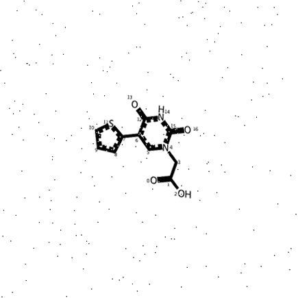 O=C(O)Cn1cc(-c2cccs2)c(=O)[nH]c1=O